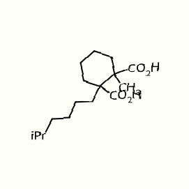 CC(C)CCCCC1(C(=O)O)CCCCC1(C)C(=O)O